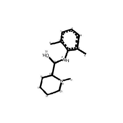 Cc1cccc(C)c1NC(O)C1CCCCN1C